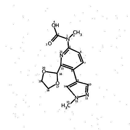 CN(C(=O)O)c1ccc(-c2cnn(C)c2)c(C2OCCO2)n1